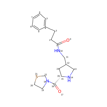 O=C(CCc1ccccc1)NCC1CN[C@H](C(=O)N2CCSC2)C1